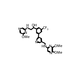 COc1cncc(NCC(O)c2cc(-c3cncc(CNc4cnc(OC)c(OC)n4)c3)cc(C(F)(F)F)c2)n1